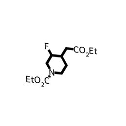 CCOC(=O)CC1CCN(C(=O)OCC)CC1F